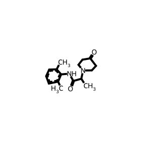 Cc1cccc(C)c1NC(=O)C(C)N1CCC(=O)CC1